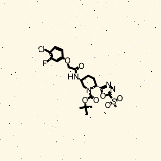 CC(C)(C)OC(=O)N1C[C@@H](NC(=O)COc2ccc(Cl)c(F)c2)CC[C@@H]1c1nnc(S(C)(=O)=O)o1